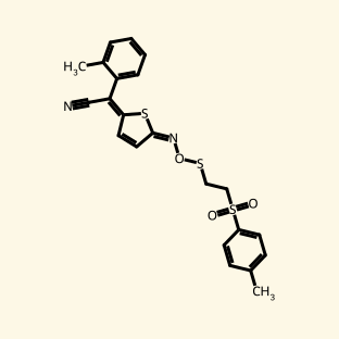 Cc1ccc(S(=O)(=O)CCSON=C2C=CC(=C(C#N)c3ccccc3C)S2)cc1